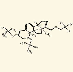 CCC(O)(CC)COCC1=CC[C@H]2C3=CC=C4C[C@@H](O[Si](C)(C)C(C)(C)C)C[C@H](O[Si](C)(C)C(C)(C)C)[C@]4(C)[C@H]3CC[C@]12C